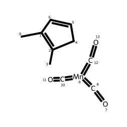 CC1=C(C)CC=C1.O=[C]=[Mn](=[C]=O)=[C]=O